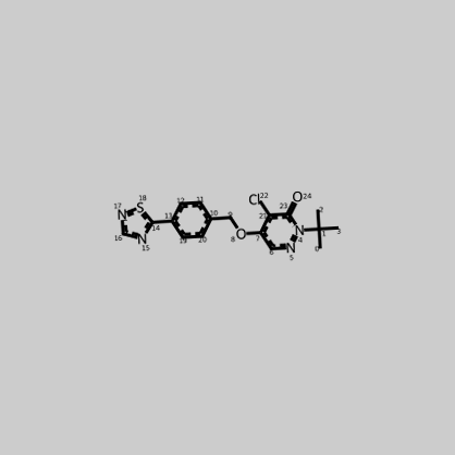 CC(C)(C)n1ncc(OCc2ccc(-c3ncns3)cc2)c(Cl)c1=O